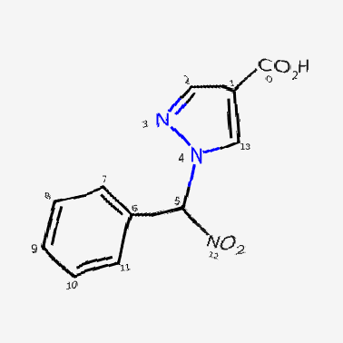 O=C(O)c1cnn(C(c2ccccc2)[N+](=O)[O-])c1